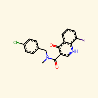 CN(Cc1ccc(Cl)cc1)C(=O)c1c[nH]c2c(I)cccc2c1=O